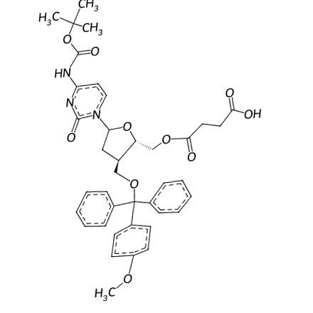 COc1ccc(C(OC[C@H]2CC(n3ccc(NC(=O)OC(C)(C)C)nc3=O)O[C@@H]2COC(=O)CCC(=O)O)(c2ccccc2)c2ccccc2)cc1